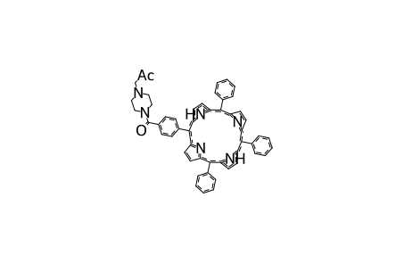 CC(=O)CN1CCN(C(=O)c2ccc(-c3c4nc(c(-c5ccccc5)c5ccc([nH]5)c(-c5ccccc5)c5nc(c(-c6ccccc6)c6ccc3[nH]6)C=C5)C=C4)cc2)CC1